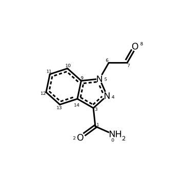 NC(=O)c1nn(CC=O)c2ccccc12